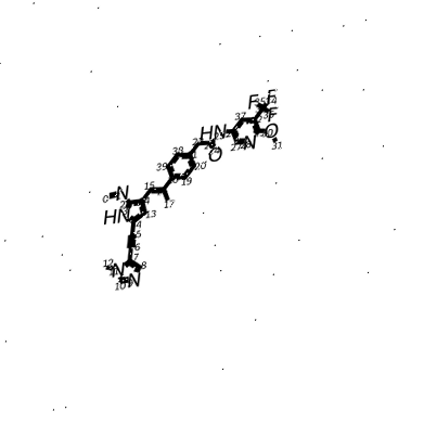 C=Nc1[nH]c(C#Cc2cncn2C)cc1/C=C(\C)c1ccc(CC(=O)Nc2cnc(OC)c(C(F)(F)F)c2)cc1